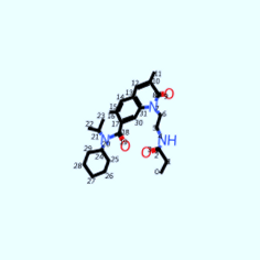 CCC(=O)NCCn1c(=O)c(C)cc2cc(C)c(C(=O)N(C(C)C)C3CCCCC3)cc21